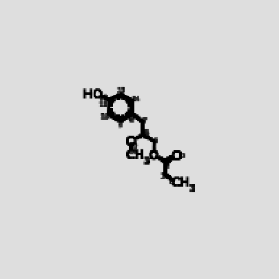 CCC(=O)OCC(Cc1ccc(O)cc1)OC